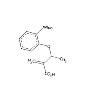 C=C(C(=O)O)C(C)Oc1ccccc1CCCCCCCCC